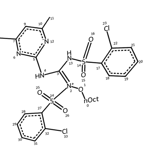 CCCCCCCCO[N+](=C(Nc1nc(C)cc(C)n1)NS(=O)(=O)c1ccccc1Cl)S(=O)(=O)c1ccccc1Cl